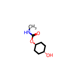 CNC(=O)O[C@H]1CC[C@H](O)CC1